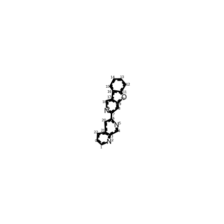 c1cnc2cnc(-c3cc4oc5ccccc5c4cn3)cc2c1